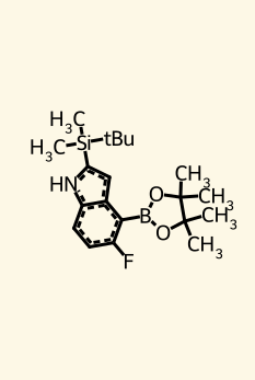 CC1(C)OB(c2c(F)ccc3[nH]c([Si](C)(C)C(C)(C)C)cc23)OC1(C)C